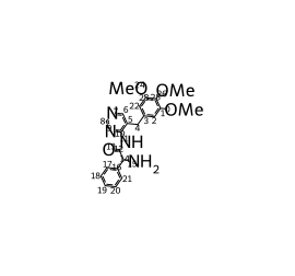 COc1cc(Cc2cncnc2NC(=O)C(N)c2ccccc2)cc(OC)c1OC